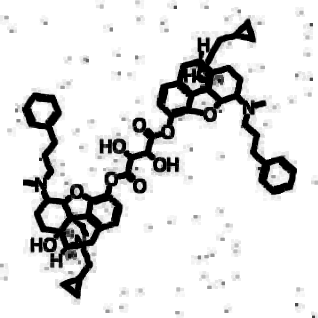 CN(CCCc1ccccc1)C1CC[C@@]2(O)[C@H]3Cc4ccc(OC(=O)C(O)C(O)C(=O)Oc5ccc6c7c5OC5C(N(C)CCCc8ccccc8)CC[C@@]8(O)[C@@H](C6)N(CC6CC6)CC[C@]758)c5c4[C@@]2(CCN3CC2CC2)C1O5